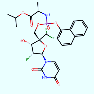 CC(C)OC(=O)[C@H](C)NP(=O)(OC[C@@]1(C(F)F)O[C@@H](n2ccc(=O)[nH]c2=O)[C@H](F)[C@@H]1O)Oc1cccc2ccccc12